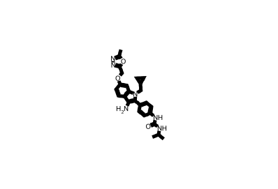 Cc1nnc(COc2ccc3c(N)c(-c4ccc(NC(=O)NC(C)C)cc4)n(CC4CC4)c3c2)o1